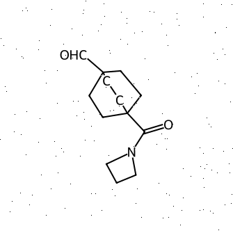 O=CC12CCC(C(=O)N3CCC3)(CC1)CC2